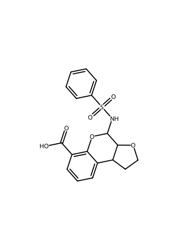 O=C(O)c1cccc2c1OC(NS(=O)(=O)c1ccccc1)C1OCCC21